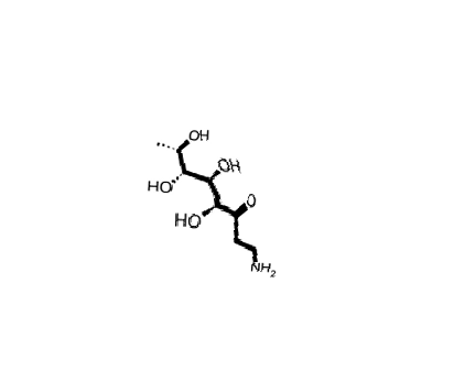 C[C@H](O)[C@@H](O)[C@@H](O)[C@H](O)C(=O)CCN